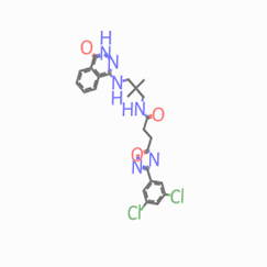 CC(C)(CNC(=O)CCc1nc(-c2cc(Cl)cc(Cl)c2)no1)CNc1n[nH]c(=O)c2ccccc12